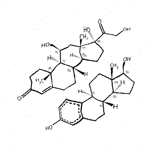 C[C@]12CCC(=O)C=C1CC[C@@H]1[C@@H]2[C@@H](O)C[C@@]2(C)[C@H]1CC[C@]2(O)C(=O)CO.C[C@]12CC[C@@H]3c4ccc(O)cc4CC[C@H]3[C@@H]1CC[C@@H]2O